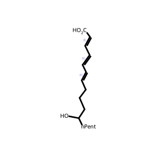 CCCCCC(O)CCC/C=C/C=C/C=C/C(=O)O